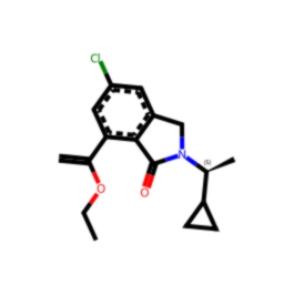 C=C(OCC)c1cc(Cl)cc2c1C(=O)N([C@@H](C)C1CC1)C2